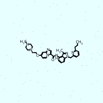 CCCc1cccc(Cn2nc(C)c3c(NC(=O)c4cnc5cc(OCCN6CCN(C)CC6)ccn45)cccc32)n1